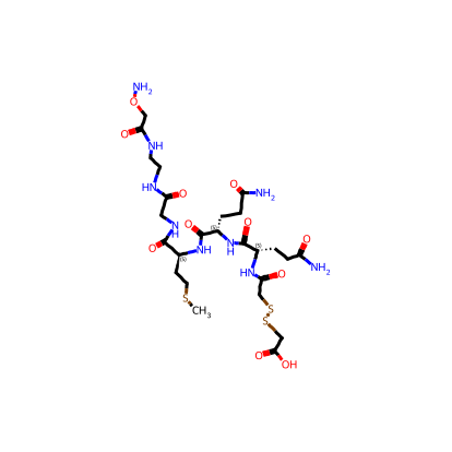 CSCC[C@H](NC(=O)[C@H](CCC(N)=O)NC(=O)[C@H](CCC(N)=O)NC(=O)CSSCC(=O)O)C(=O)NCC(=O)NCCNC(=O)CON